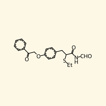 CCSC(Cc1ccc(OCC(=O)c2ccccc2)cc1)C(=O)NC=O